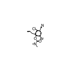 C=CCc1c(Cl)c(C#N)cc(Br)c1OC(=O)N(C)C